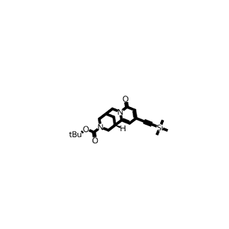 CC(C)(C)OC(=O)N1CC2C[C@@H](C1)c1cc(C#C[Si](C)(C)C)cc(=O)n1C2